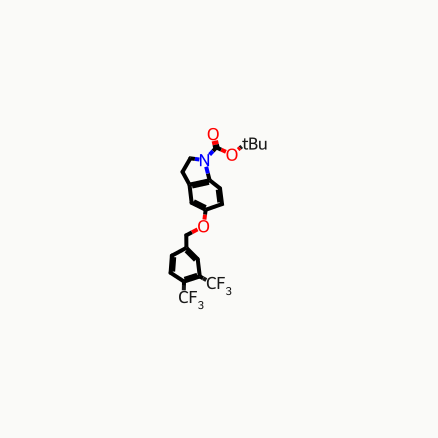 CC(C)(C)OC(=O)N1CCc2cc(OCc3ccc(C(F)(F)F)c(C(F)(F)F)c3)ccc21